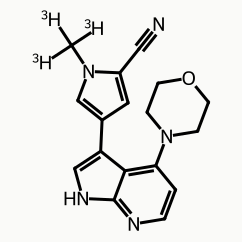 [3H]C([3H])([3H])n1cc(-c2c[nH]c3nccc(N4CCOCC4)c23)cc1C#N